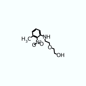 Cc1cccc(NCCOCCO)c1[N+](=O)[O-]